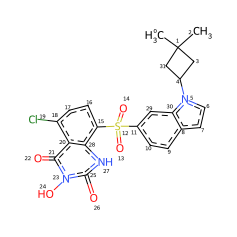 CC1(C)CC(n2ccc3ccc(S(=O)(=O)c4ccc(Cl)c5c(=O)n(O)c(=O)[nH]c45)cc32)C1